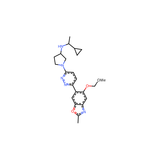 COCOc1cc2nc(C)oc2cc1-c1ccc(N2CCC(NC(C)C3CC3)C2)nn1